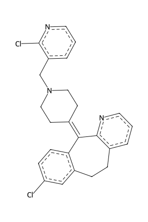 Clc1ccc2c(c1)CCc1cccnc1C2=C1CCN(Cc2cccnc2Cl)CC1